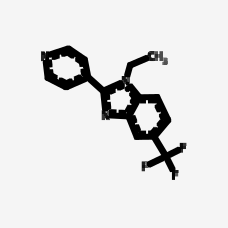 CCn1c(-c2ccncc2)nc2cc(C(F)(F)F)ccc21